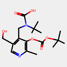 Cc1ncc(CO)c(CN(C(=O)O)C(C)(C)C)c1OC(=O)OC(C)(C)C